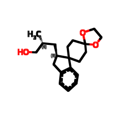 C[C@@H](CO)C[C@@H]1Cc2ccccc2C12CCC1(CC2)OCCO1